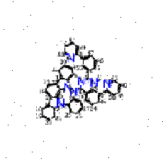 C=N/C(=N\C(=N/n1c2ccccc2c2ccc3c4ccccc4n(-c4ccccc4)c3c21)c1cccc(-c2ccccn2)c1)c1cccc(-c2ccccn2)c1